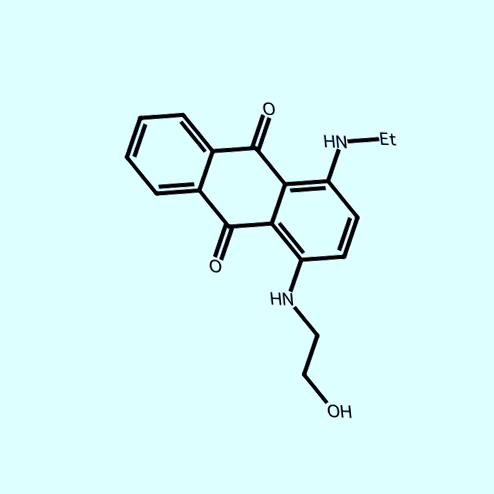 CCNc1ccc(NCCO)c2c1C(=O)c1ccccc1C2=O